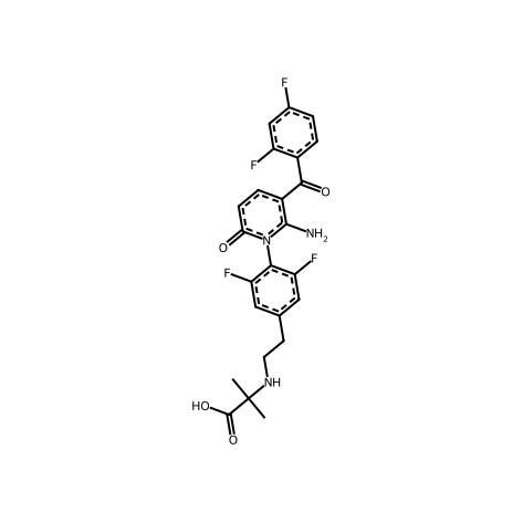 CC(C)(NCCc1cc(F)c(-n2c(N)c(C(=O)c3ccc(F)cc3F)ccc2=O)c(F)c1)C(=O)O